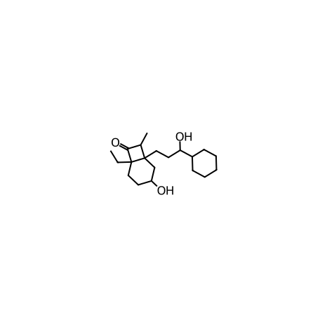 CCC12CCC(O)CC1(CCC(O)C1CCCCC1)C(C)C2=O